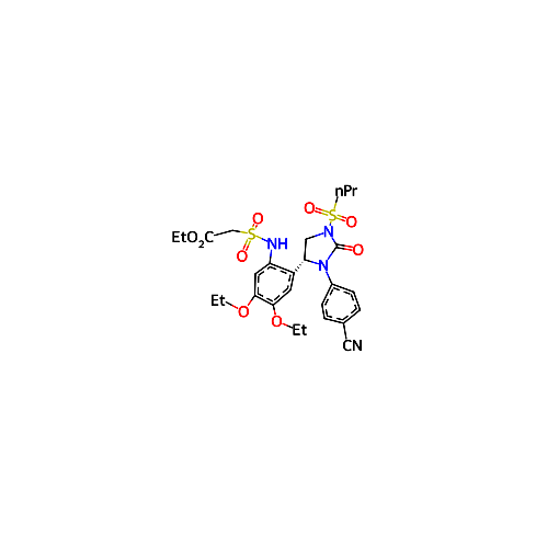 CCCS(=O)(=O)N1C[C@@H](c2cc(OCC)c(OCC)cc2NS(=O)(=O)CC(=O)OCC)N(c2ccc(C#N)cc2)C1=O